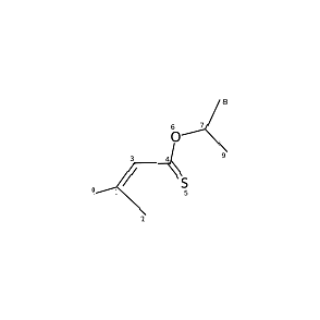 CC(C)=CC(=S)OC(C)C